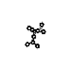 C1=Cc2c(n(-c3ccccc3)c3cc4c5cc6ccccc6cc5n(-c5ccc(-c6cc(-c7ccccc7)cc(-c7ccccc7)c6)cc5)c4cc23)CC1